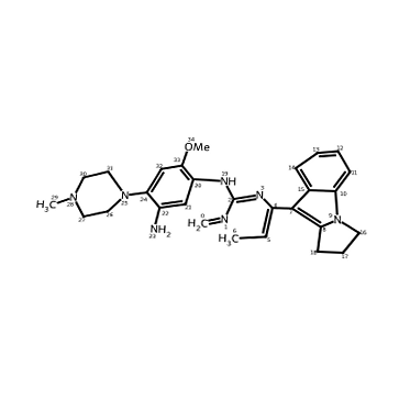 C=N/C(=N\C(=C/C)c1c2n(c3ccccc13)CCC2)Nc1cc(N)c(N2CCN(C)CC2)cc1OC